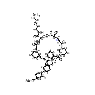 COc1ccc(-c2ccc(C[C@@H]3NC(=O)[C@]4(Cc5ccccc5)CCCN(C4)C(=O)/C=C/C(=O)NCC[C@@H](C(=O)NCCOCCN)NC(=O)Cc4ccccc4CNC3=O)cc2)c(C)c1